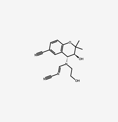 CC1(C)Oc2ccc(C#N)cc2[C@@H](N(C=NC#N)CCO)[C@@H]1O